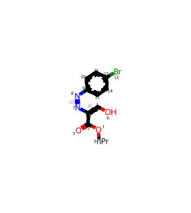 CCCOC(=O)C(=C\O)/N=N\c1ccc(Br)cc1